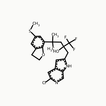 CSc1cc2c(c(C(C)(C)CC(O)(Cc3cc4cc(Cl)ncc4[nH]3)C(F)(F)F)c1)OCC2